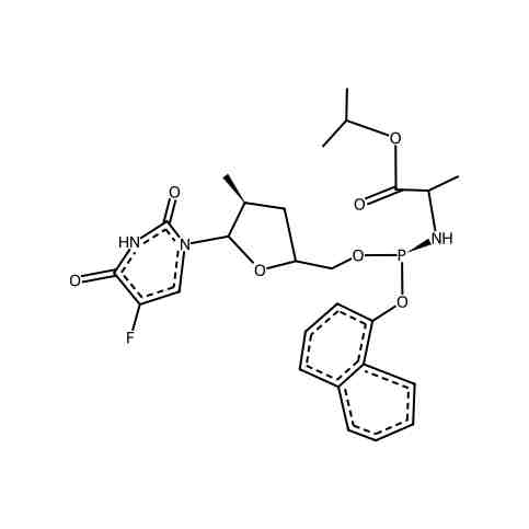 CC(C)OC(=O)C(C)N[P@](OCC1C[C@H](C)C(n2cc(F)c(=O)[nH]c2=O)O1)Oc1cccc2ccccc12